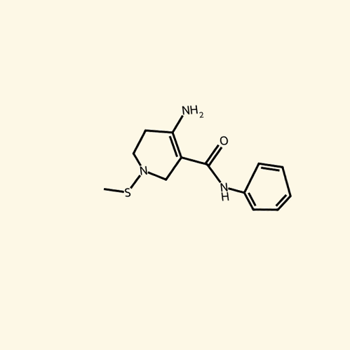 CSN1CCC(N)=C(C(=O)Nc2ccccc2)C1